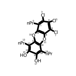 CCCc1c(Cl)c(Cl)c(Cl)c2c1Oc1c(CCC)c(O)c(O)c(CCC)c1O2